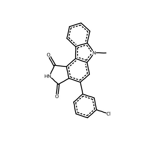 Cn1c2ccccc2c2c3c(c(-c4cccc(Cl)c4)cc21)C(=O)NC3=O